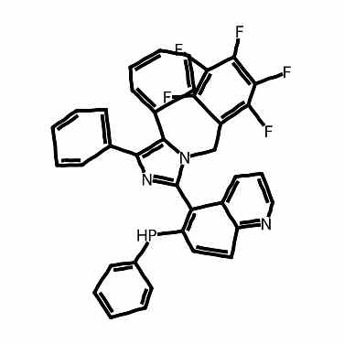 Fc1c(F)c(F)c(Cn2c(-c3c(Pc4ccccc4)ccc4ncccc34)nc(-c3ccccc3)c2-c2ccccc2)c(F)c1F